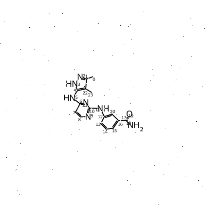 Cc1n[nH]c(Nc2ccnc(Nc3cccc(C(N)=O)c3)n2)c1C